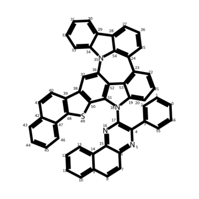 c1ccc(-c2nc3ccc4ccccc4c3nc2-n2c3cccc4c5cccc6c7ccccc7n(c7cc8c9ccc%10ccccc%10c9sc8c2c7c43)c56)cc1